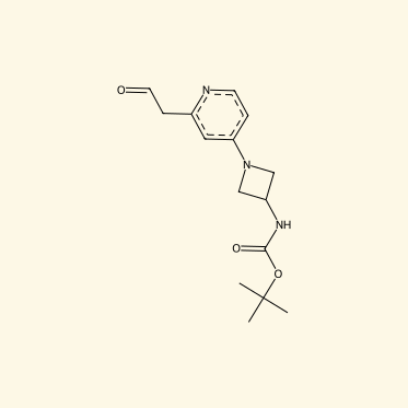 CC(C)(C)OC(=O)NC1CN(c2ccnc(CC=O)c2)C1